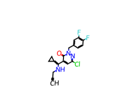 C#CCNC(=C1CC1)c1cc(Cl)nn(Cc2ccc(F)c(F)c2)c1=O